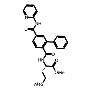 COC(=O)[C@H](CCSC)NC(=O)c1ccc(C(=O)Nc2ccccn2)cc1-c1ccccc1